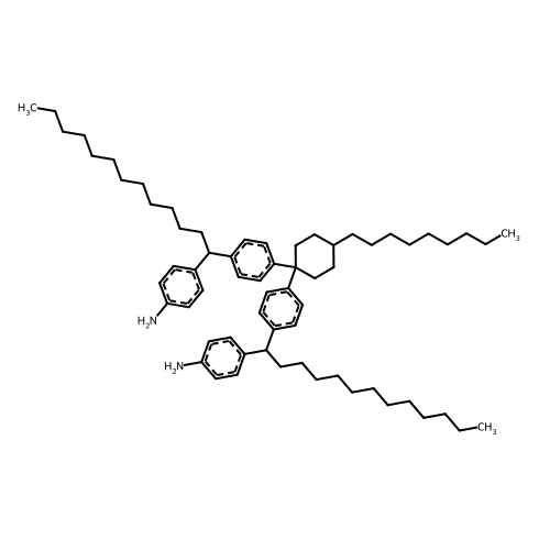 CCCCCCCCCCCCC(c1ccc(N)cc1)c1ccc(C2(c3ccc(C(CCCCCCCCCCCC)c4ccc(N)cc4)cc3)CCC(CCCCCCCCC)CC2)cc1